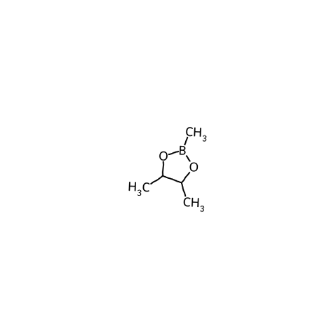 CB1OC(C)C(C)O1